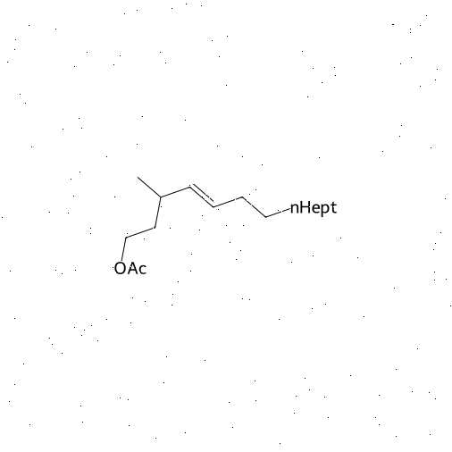 CCCCCCCCCC=CC(C)CCOC(C)=O